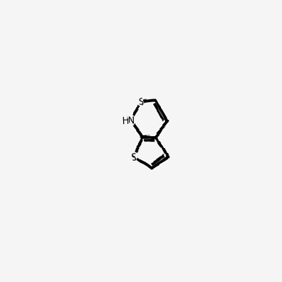 C1=Cc2ccsc2NS1